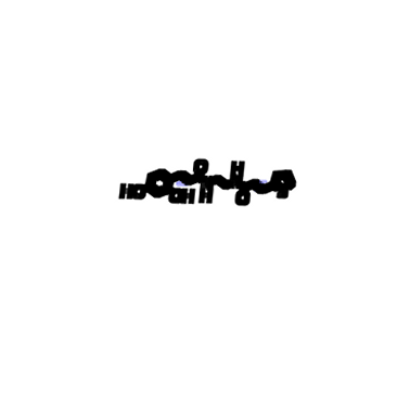 O=C(/C=C/c1cccs1)NCCNC(=O)/C=C/c1ccc(O)cc1O